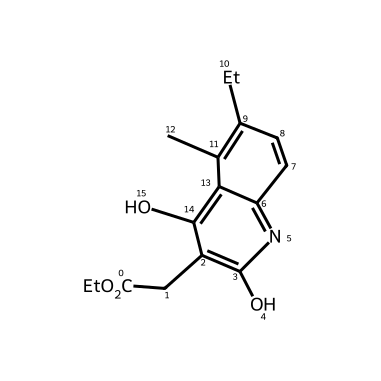 CCOC(=O)Cc1c(O)nc2ccc(CC)c(C)c2c1O